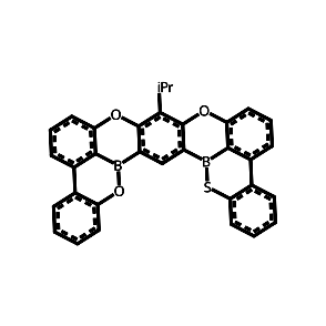 CC(C)c1c2c(cc3c1Oc1cccc4c1B3Sc1ccccc1-4)B1Oc3ccccc3-c3cccc(c31)O2